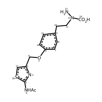 CC(=O)Nc1nc(COc2ccc(CCN(N)C(=O)O)cc2)cs1